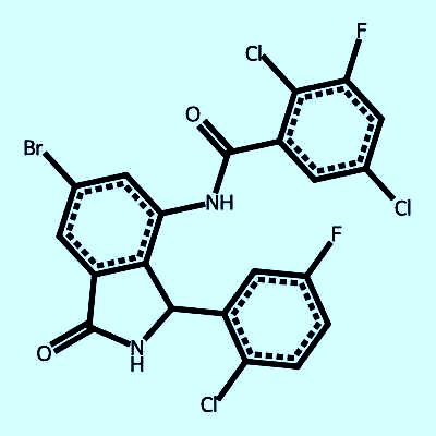 O=C(Nc1cc(Br)cc2c1C(c1cc(F)ccc1Cl)NC2=O)c1cc(Cl)cc(F)c1Cl